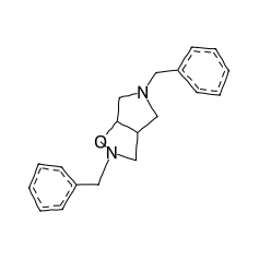 c1ccc(CN2CC3CN(Cc4ccccc4)OC3C2)cc1